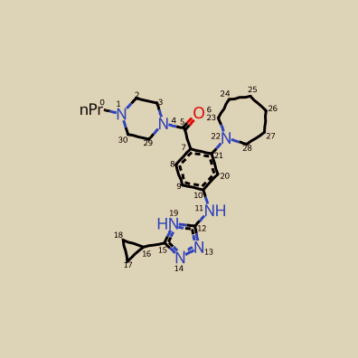 CCCN1CCN(C(=O)c2ccc(Nc3nnc(C4CC4)[nH]3)cc2N2CCCCCC2)CC1